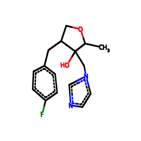 CC1OCC(Cc2ccc(F)cc2)C1(O)Cn1ccnc1